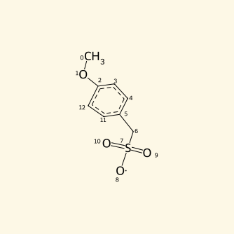 COc1ccc(CS([O])(=O)=O)cc1